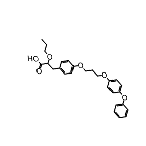 CCCOC(Cc1ccc(OCCCOc2ccc(Oc3ccccc3)cc2)cc1)C(=O)O